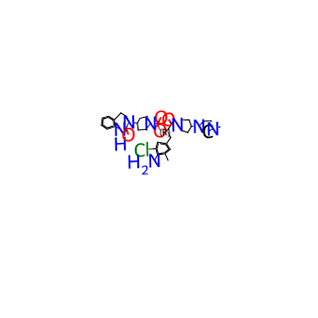 Cc1cc(C[C@@H](OC(=O)N2CCC(N3CCc4ccccc4NC3=O)CC2)C(=O)N2CCC(N3CCN(C)CC3)CC2)cc(Cl)c1N